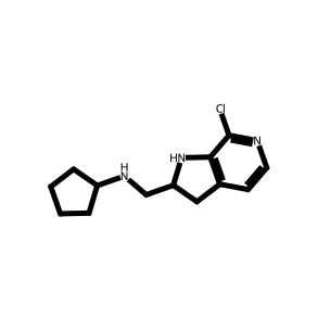 Clc1nccc2c1NC(CNC1CCCC1)C2